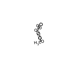 CC(=O)c1ccc(N2CCN(C(=O)/C=C/S(=O)(=O)C3CCCCC3)CC2)cc1